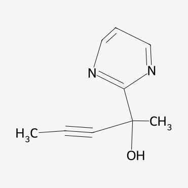 CC#CC(C)(O)c1ncccn1